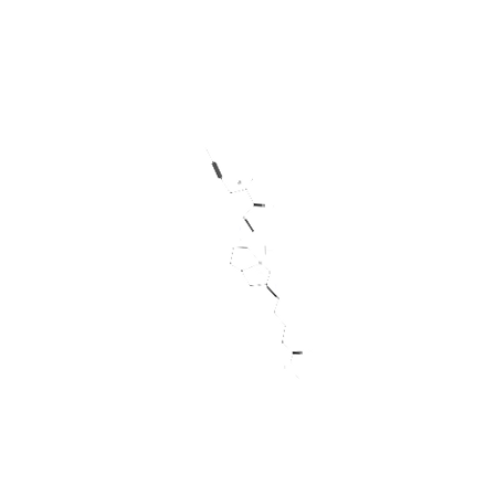 CC#CC[C@@H](C)C(=O)/C=C/[C@H]1CCC2C/C(=C\CCCC(=O)OC)C[C@@H]21